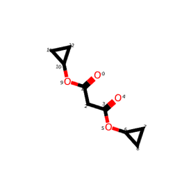 O=C(CC(=O)OC1CC1)OC1CC1